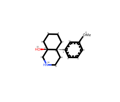 COc1cccc([C@@]23CCCC[C@@]2(O)CNCC3)c1